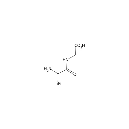 CC(C)C(N)C(=O)NCC(=O)O